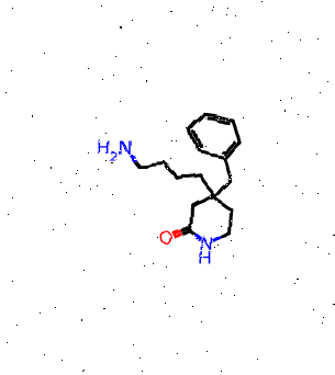 NCCCCC1(Cc2ccccc2)CCNC(=O)C1